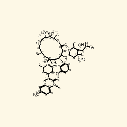 CCCNC[C@]1(O)[C@H](C)O[C@@H](O[C@H]2[C@H](C)[C@@H](O[C@@H]3O[C@H](C)C[C@H](N(C)C(=O)N(C)c4ccc(C(F)(F)F)cc4)[C@H]3Oc3ccccc3)[C@](C)(O)C[C@@H](C)CN[C@H](C)[C@@H](O)[C@](C)(O)[C@@H](CC)OC(=O)[C@@H]2C)C[C@@]1(C)OC